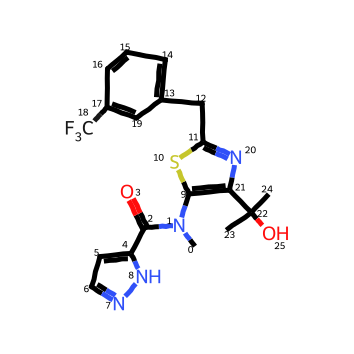 CN(C(=O)c1ccn[nH]1)c1sc(Cc2cccc(C(F)(F)F)c2)nc1C(C)(C)O